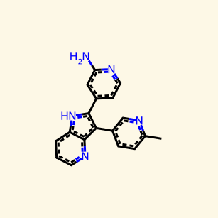 Cc1ccc(-c2c(-c3ccnc(N)c3)[nH]c3cccnc23)cn1